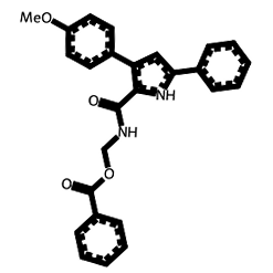 COc1ccc(-c2cc(-c3ccccc3)[nH]c2C(=O)NCOC(=O)c2ccccc2)cc1